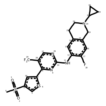 CS(=O)(=O)c1csc(-c2nc(Nc3cc4c(cc3F)CN(C3CC3)CC4)ncc2C(F)(F)F)c1